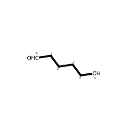 O=[C]CCCCO